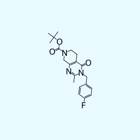 Cc1nc2c(c(=O)n1Cc1ccc(F)cc1)CCN(C(=O)OC(C)(C)C)C2